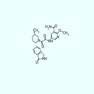 COc1ncc(NC(=O)C(=O)N2C[C@H](C)CC[C@H]2c2ccc3c(c2)CNC3=O)cc1C(N)=O